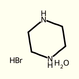 Br.C1CNCCN1.O